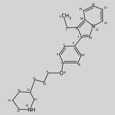 CCc1c(-c2ccc(OCCCC3CCCNC3)cc2)cn2ccccc12